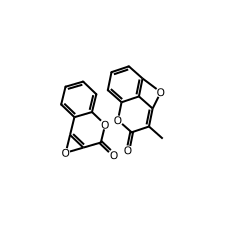 Cc1c2c3c(cccc3oc1=O)O2.O=c1oc2ccccc2c2c1O2